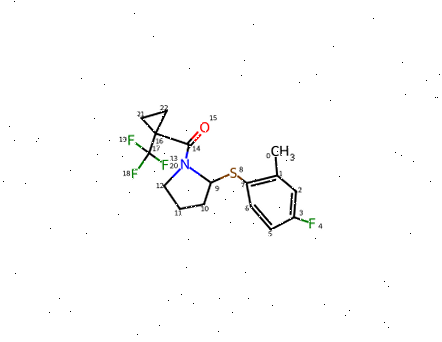 Cc1cc(F)ccc1SC1CCCN1C(=O)C1(C(F)(F)F)CC1